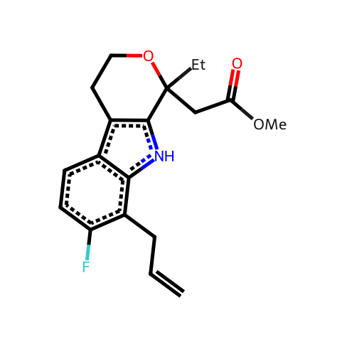 C=CCc1c(F)ccc2c3c([nH]c12)C(CC)(CC(=O)OC)OCC3